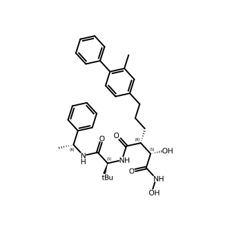 Cc1cc(CCC[C@@H](C(=O)N[C@H](C(=O)N[C@H](C)c2ccccc2)C(C)(C)C)[C@H](O)C(=O)NO)ccc1-c1ccccc1